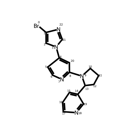 Brc1cn(-c2ccnc(N3CCCC3c3cccnc3)c2)cn1